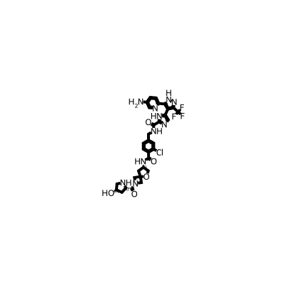 Nc1ccc(-c2[nH]nc(C(F)(F)F)c2-c2cnc(C(=O)NCc3ccc(C(=O)N[C@@H]4COC5(C4)CN(C(=O)[C@@H]4C[C@@H](O)CN4)C5)c(Cl)c3)[nH]2)nc1